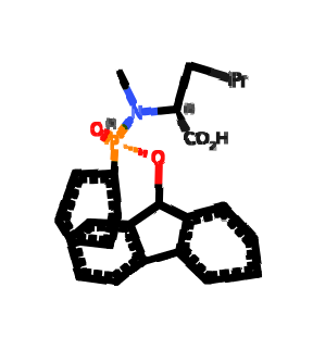 CC(C)C[C@@H](C(=O)O)N(C)[P@@](=O)(OC1c2ccccc2-c2ccccc21)c1ccccc1